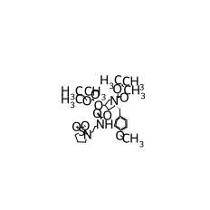 COc1ccc(C[C@@H]2[C@H](OC(=O)NCCN3CCCS3(=O)=O)[C@@H](OC(=O)OC(C)(C)C)CN2C(=O)OC(C)(C)C)cc1